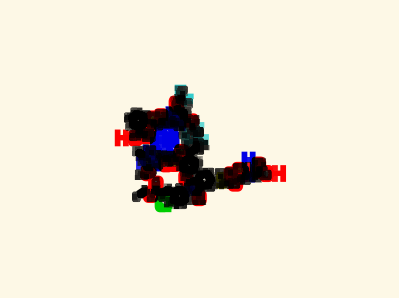 CCOC(=O)/C(Cl)=C/c1cc(N2C(=O)C3=C(CCCC3)C2=O)ccc1Cl.COc1nc(C)nc(NC(=O)NS(=O)(=O)c2ccccc2CCC(F)(F)F)n1.C[S+](C)C.O=C(Nc1nc(OC(F)F)cc(OC(F)F)n1)NS(=O)(=O)c1ccccc1C(=O)O.O=C(O)CNCP(=O)([O-])O